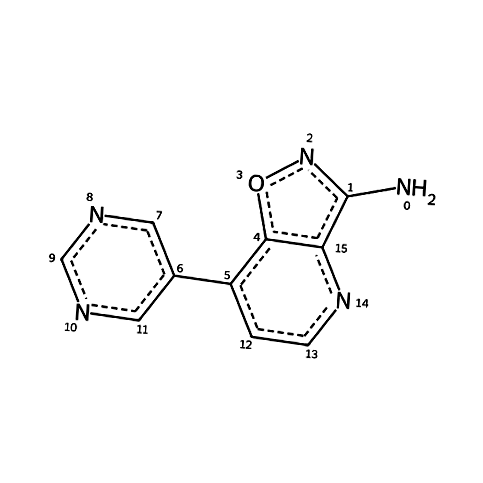 Nc1noc2c(-c3cncnc3)ccnc12